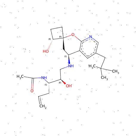 C=CC[C@H](NC(C)=O)[C@H](O)CN[C@H]1C[C@@]2(CC[C@H]2O)Oc2ncc(CC(C)(C)C)cc21